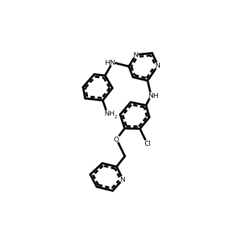 Nc1cccc(Nc2cc(Nc3ccc(OCc4ccccn4)c(Cl)c3)ncn2)c1